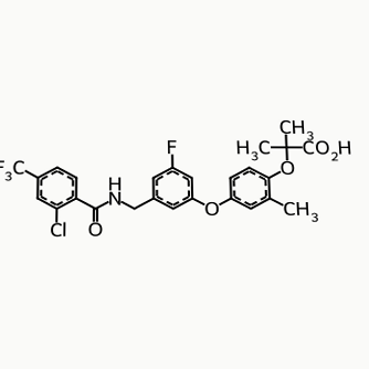 Cc1cc(Oc2cc(F)cc(CNC(=O)c3ccc(C(F)(F)F)cc3Cl)c2)ccc1OC(C)(C)C(=O)O